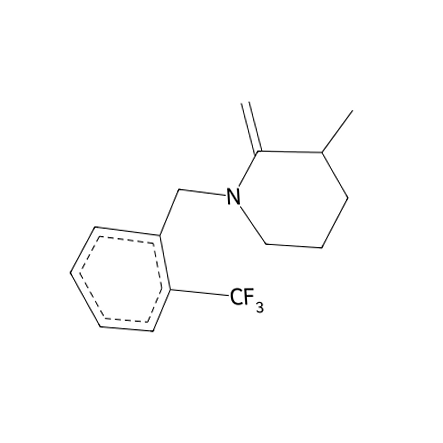 C=C1C(C)CCCN1Cc1ccccc1C(F)(F)F